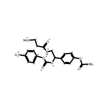 CCCCC(=O)Oc1ccc(C(CNC(=O)CCSC)OC(=O)Oc2ccc([N+](=O)[O-])cc2)cc1